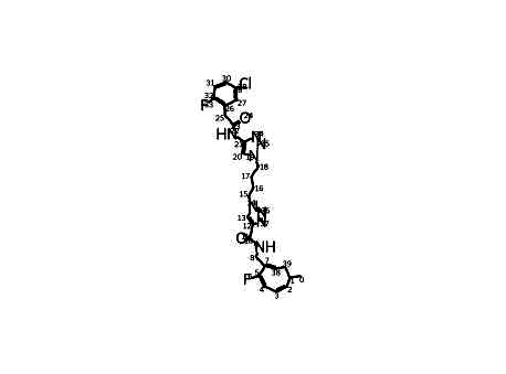 CC1\C=C/C=C(F)\C(CNC(=O)c2cn(CCCCn3cc(NC(=O)Cc4cc(Cl)ccc4F)nn3)nn2)=C\C1